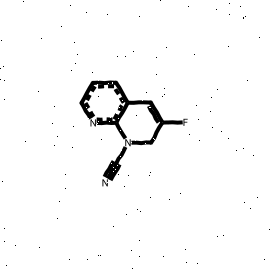 N#CN1CC(F)=Cc2cccnc21